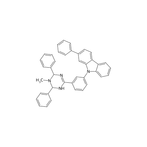 CN1C(c2ccccc2)N=C(c2cccc(-n3c4ccccc4c4ccc(-c5ccccc5)cc43)c2)NC1c1ccccc1